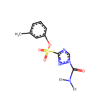 CCN(CC)C(=O)n1cnc(S(=O)(=O)Oc2cccc(C)c2)n1